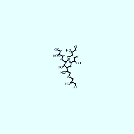 OC(CCl)COCC(O)C(OCC(O)CCl)C(O)C(COCC(O)CCl)OCC(O)CCl